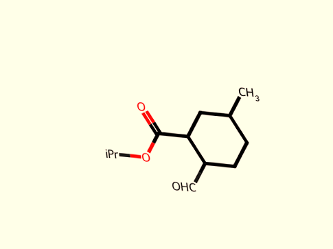 CC1CCC(C=O)C(C(=O)OC(C)C)C1